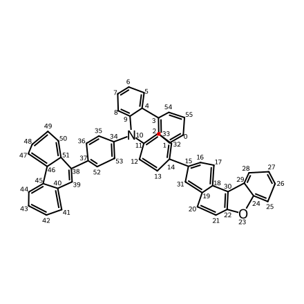 c1ccc(-c2ccccc2N(c2ccc(-c3ccc4c(ccc5oc6ccccc6c54)c3)cc2)c2ccc(-c3cc4ccccc4c4ccccc34)cc2)cc1